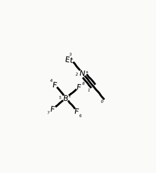 CC#[N+]CC.F[B-](F)(F)F